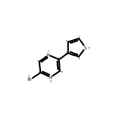 Brc1cnc(-c2ccsc2)cn1